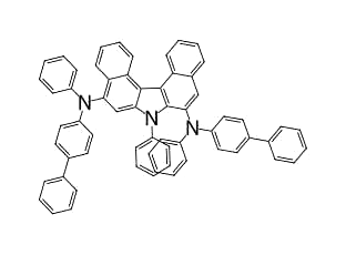 c1ccc(-c2ccc(N(c3ccccc3)c3cc4c(c5ccccc35)c3c5ccccc5cc(N(c5ccccc5)c5ccc(-c6ccccc6)cc5)c3n4-c3ccccc3)cc2)cc1